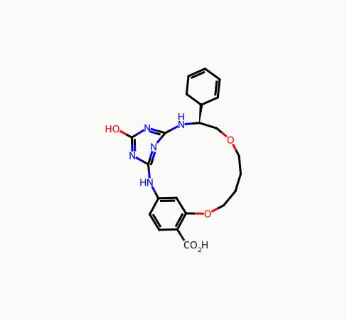 O=C(O)c1ccc2cc1OCCCCOC[C@H](C1C=CC=CC1)Nc1nc(O)nc(n1)N2